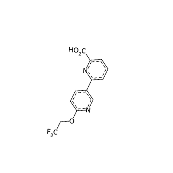 O=C(O)c1cccc(-c2ccc(OCC(F)(F)F)nc2)n1